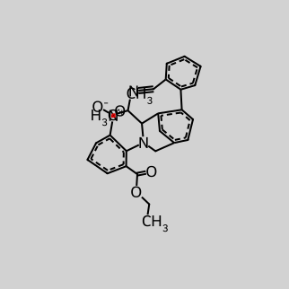 CCOC(=O)c1cccc([N+](=O)[O-])c1N1Cc2ccc(-c3ccccc3C#N)c(c2)C1C(C)C